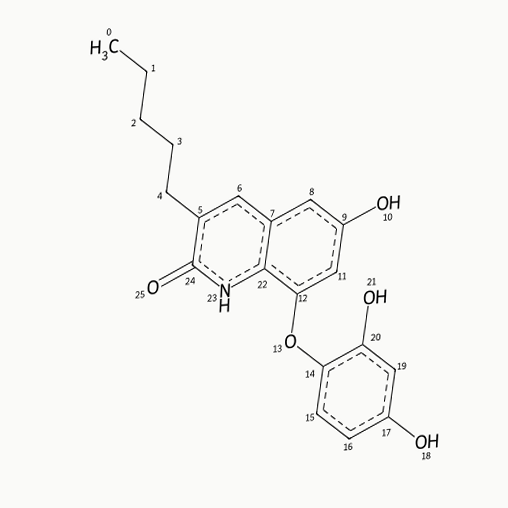 CCCCCc1cc2cc(O)cc(Oc3ccc(O)cc3O)c2[nH]c1=O